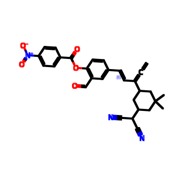 C=C=C(/C=C/c1ccc(OC(=O)c2ccc([N+](=O)[O-])cc2)c(C=O)c1)C1CC(C(C#N)C#N)CC(C)(C)C1